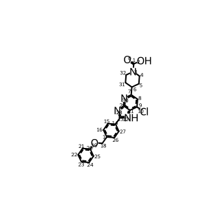 O=C(O)N1CCC(c2cc(Cl)c3[nH]c(-c4ccc(COc5ccccc5)cc4)nc3n2)CC1